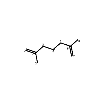 C=C(C)C[CH]CC(=C)C